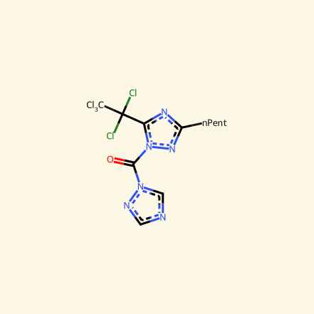 CCCCCc1nc(C(Cl)(Cl)C(Cl)(Cl)Cl)n(C(=O)n2cncn2)n1